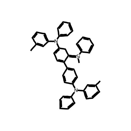 Cc1cccc(N(C2=CC=C(c3ccc(N(c4ccccc4)c4cccc(C)c4)cc3)C(=[Si](C)c3ccccc3)C2)c2ccccc2)c1